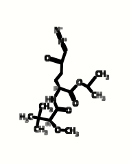 CO[C@H](C(=O)N[C@@H](CCC(=O)C=[N+]=[N-])C(=O)OC(C)C)C(C)(C)C